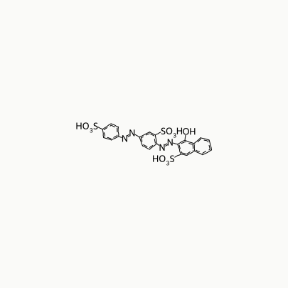 O=S(=O)(O)c1ccc(/N=N/c2ccc(/N=N/c3c(S(=O)(=O)O)cc4ccccc4c3O)c(S(=O)(=O)O)c2)cc1